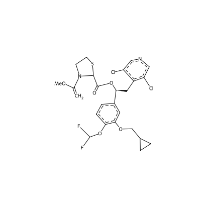 C=C(OC)N1CCSC1C(=O)O[C@@H](Cc1c(Cl)cncc1Cl)c1ccc(OC(F)F)c(OCC2CC2)c1